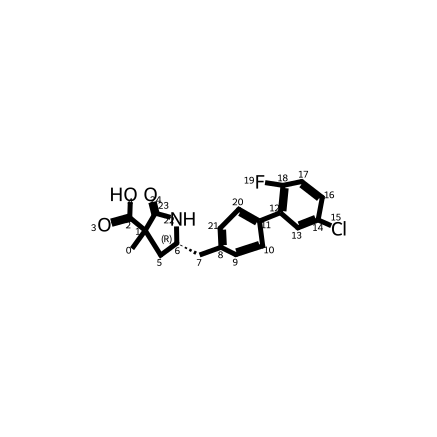 CC1(C(=O)O)C[C@@H](Cc2ccc(-c3cc(Cl)ccc3F)cc2)NC1=O